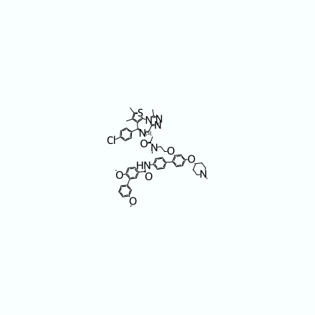 COc1cccc(-c2cc(C(=O)Nc3ccc(-c4ccc(OC5CCN(C)CC5)cc4OCCN(C)C(=O)C[C@@H]4N=C(c5ccc(Cl)cc5)c5c(sc(C)c5C)-n5c(C)nnc54)cc3)ccc2OC)c1